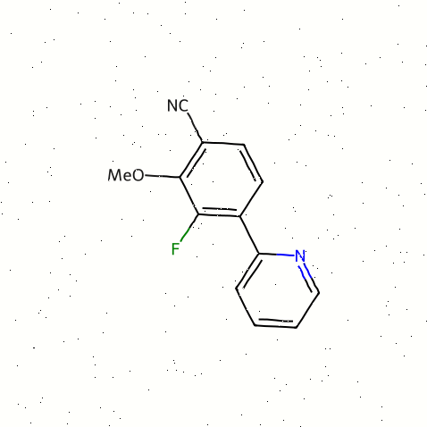 COc1c(C#N)ccc(-c2ccccn2)c1F